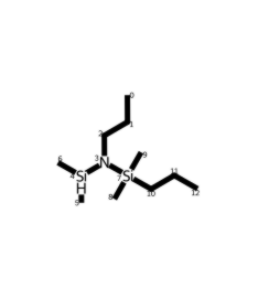 CCCN([SiH](C)C)[Si](C)(C)CCC